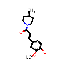 COc1cc(/C=C/C(=O)N2CCC(C)CC2)ccc1O